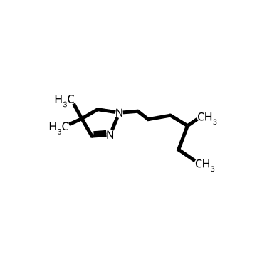 CCC(C)CCCN1CC(C)(C)C=N1